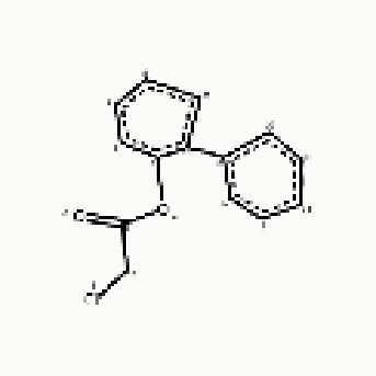 O=C(CCl)Oc1ccccc1-c1ccccc1